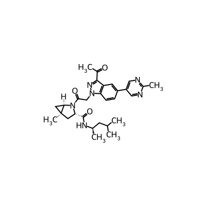 CC(=O)c1nn(CC(=O)N2[C@H](C(=O)N[C@H](C)CC(C)C)C[C@@]3(C)C[C@@H]23)c2ccc(-c3cnc(C)nc3)cc12